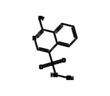 CC(C)c1ncc(S(=O)(=O)NC(C)(C)C)c2ccccc12